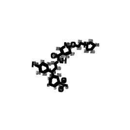 CS(=O)(=O)c1cccc(C(CCNC(=O)c2ccc(OCCN3CCCC3)nc2)c2ccc(F)cc2)c1